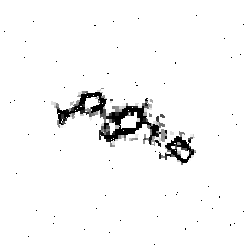 N#CN1[C@H]2CC[C@@H]1[C@H](NC(=O)c1cc3cnn(-c4cccc(C5CC5)n4)c3cc1Cl)C2